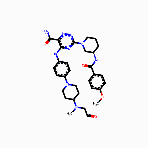 COc1ccc(C(=O)N[C@@H]2CCCN(c3nnc(C(N)=O)c(Nc4ccc(N5CCC(N(C)CC=O)CC5)cc4)n3)C2)cc1